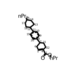 CCCOC(=O)C1=CCC(c2ccc(C3CCC(CCC)CC3)cc2)CC1